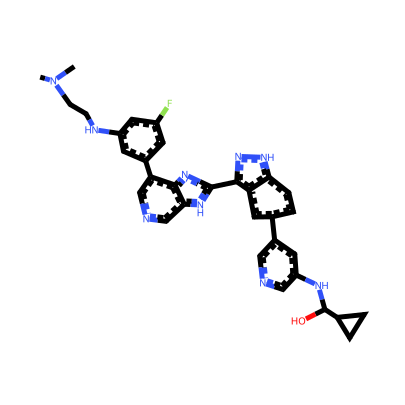 CN(C)CCNc1cc(F)cc(-c2cncc3[nH]c(-c4n[nH]c5ccc(-c6cncc(NC(O)C7CC7)c6)cc45)nc23)c1